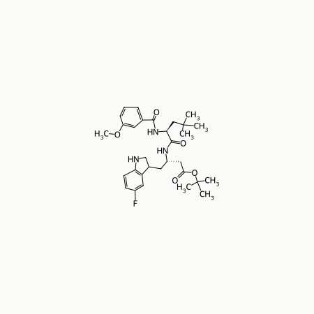 COc1cccc(C(=O)N[C@@H](CC(C)(C)C)C(=O)N[C@H](CC(=O)OC(C)(C)C)CC2CNc3ccc(F)cc32)c1